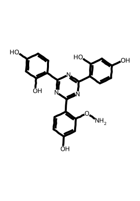 NOc1cc(O)ccc1-c1nc(-c2ccc(O)cc2O)nc(-c2ccc(O)cc2O)n1